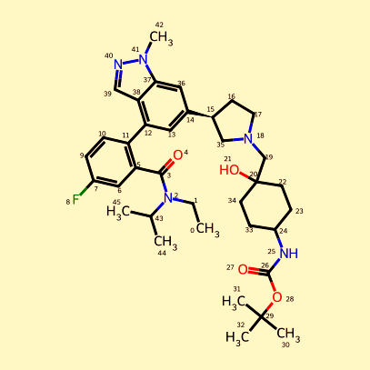 CCN(C(=O)c1cc(F)ccc1-c1cc([C@H]2CCN(CC3(O)CCC(NC(=O)OC(C)(C)C)CC3)C2)cc2c1cnn2C)C(C)C